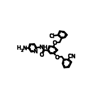 N#Cc1ccccc1COc1cc(OCc2ccccc2Cl)cc(C(=O)Nc2ccc(N)cn2)c1